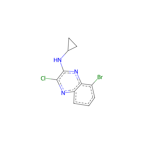 Clc1nc2cccc(Br)c2nc1NC1CC1